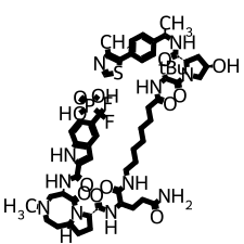 Cc1ncsc1-c1ccc([C@H](C)NC(=O)[C@@H]2C[C@@H](O)CN2C(=O)C(NC(=O)CCCCCCCNC(=O)C(CCC(N)=O)NC(=O)[C@@H]2CC[C@@H]3CCN(C)C[C@H](NC(=O)c4cc5cc(C(F)(F)P(=O)(O)O)ccc5[nH]4)C(=O)N32)C(C)(C)C)cc1